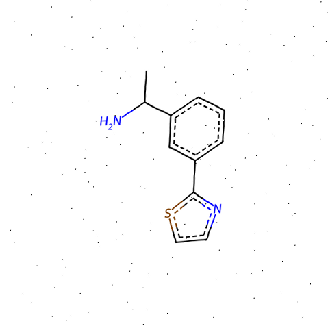 CC(N)c1cccc(-c2nccs2)c1